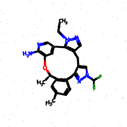 CCn1ncc2c1-c1cnc(N)c(c1)O[C@H](C)c1cc(C)ccc1-c1nn(C(F)F)cc1C2